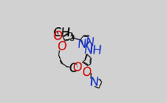 COc1ccc2cc1OCC/C=C\CCOc1cc(ccc1OCCN1CCCC1)Nc1nccc-2n1